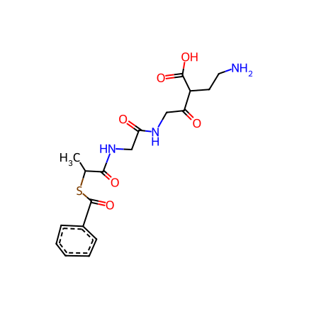 CC(SC(=O)c1ccccc1)C(=O)NCC(=O)NCC(=O)C(CCN)C(=O)O